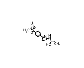 CCC(O)Nc1nc(-c2ccc(S(=O)(=O)N(C)C)cc2)cs1